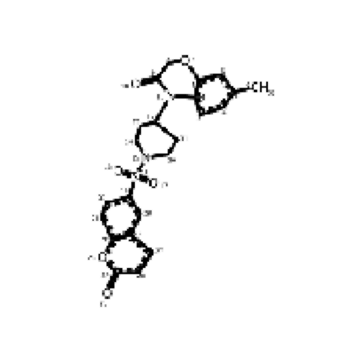 Cc1ccc2c(c1)OCC(=O)N2C1CCN(S(=O)(=O)c2ccc3oc(=O)ccc3c2)CC1